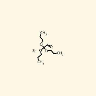 CCCOC([C]=O)(OCCC)OCCC.[Zr]